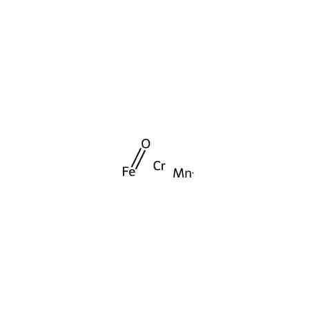 [Cr].[Mn].[O]=[Fe]